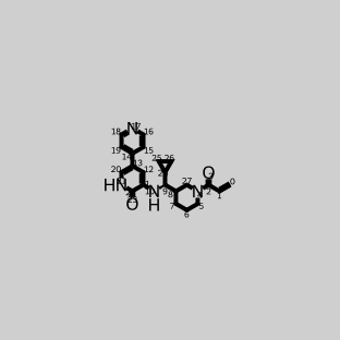 C=CC(=O)N1CCCC([C@@H](Nc2cc(-c3ccncc3)c[nH]c2=O)C2CC2)C1